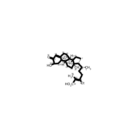 CCC(CC[C@@H](C)[C@H]1CC[C@H]2[C@@H]3CCC4=CC(=O)C(O)C[C@]4(C)[C@H]3CC[C@]12C)=C(C)C(=O)O